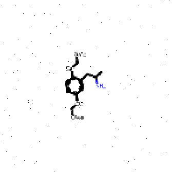 COC[Se]c1ccc([Se]COC)c(CC(C)N)c1